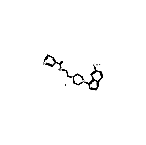 COc1ccc2cccc(N3CCN(CCNC(=O)c4cccnc4)CC3)c2c1.Cl